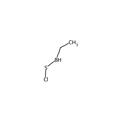 CCBSCl